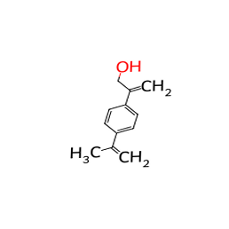 C=C(C)c1ccc(C(=C)CO)cc1